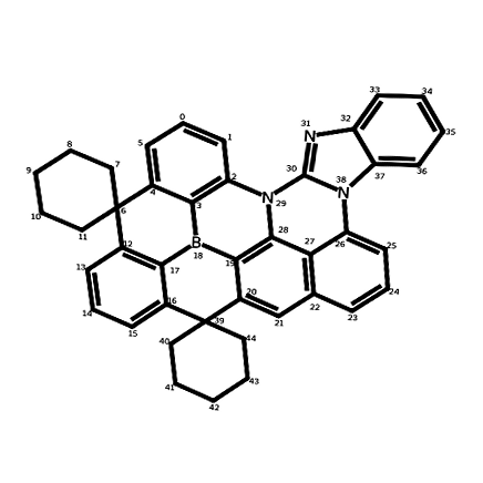 c1cc2c3c(c1)C1(CCCCC1)c1cccc4c1B3c1c(cc3cccc5c3c1n-2c1nc2ccccc2n51)C41CCCCC1